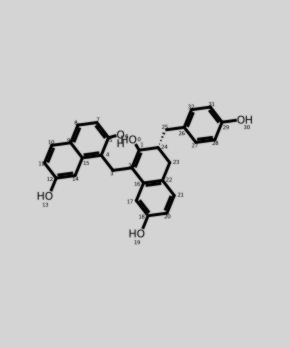 OC1=C(Cc2c(O)ccc3ccc(O)cc23)c2cc(O)ccc2C[C@H]1Cc1ccc(O)cc1